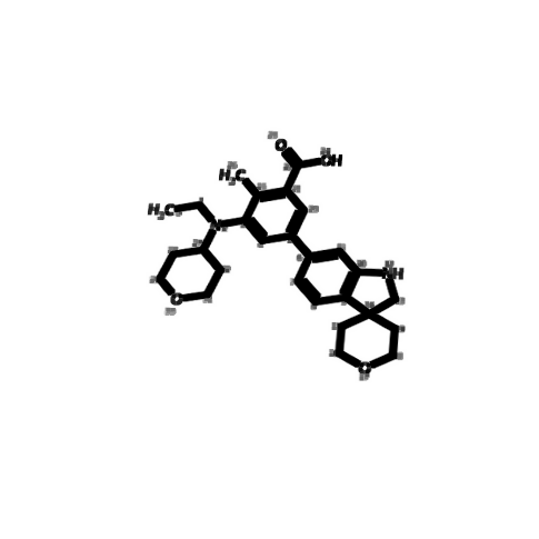 CCN(c1cc(-c2ccc3c(c2)NCC32CCOCC2)cc(C(=O)O)c1C)C1CCOCC1